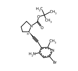 Cc1nc(Br)cc(N)c1C#C[C@H]1CCCN1C(=O)OC(C)(C)C